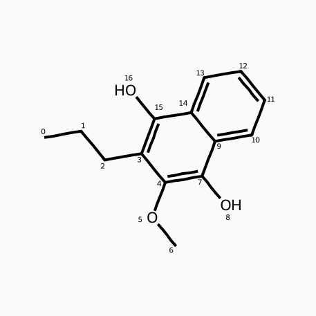 CCCc1c(OC)c(O)c2ccccc2c1O